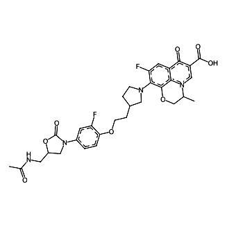 CC(=O)NCC1CN(c2ccc(OCCC3CCN(c4c(F)cc5c(=O)c(C(=O)O)cn6c5c4OCC6C)C3)c(F)c2)C(=O)O1